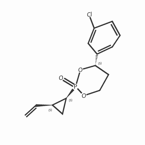 C=C[C@@H]1C[C@@H]1P1(=O)OCC[C@@H](c2cccc(Cl)c2)O1